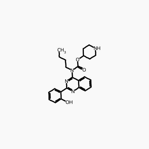 CCCCN(C(=O)OC1CCNCC1)c1nc(-c2ccccc2O)nc2ccccc12